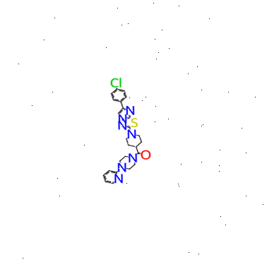 O=C(C1CCN(c2nn3cc(-c4ccc(Cl)cc4)nc3s2)CC1)N1CCN(c2ccccn2)CC1